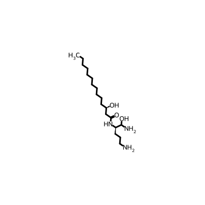 CCCCCCCCCCC[C@@H](O)CC(=O)N[C@H](CCCN)C(N)O